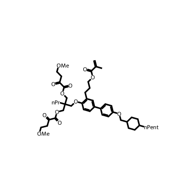 C=C(C)C(=O)OCCCc1cc(-c2ccc(OCC3CCC(CCCCC)CC3)cc2)ccc1OCC(CCC)(COC(=O)C(=O)CCOC)COC(=O)C(=O)CCOC